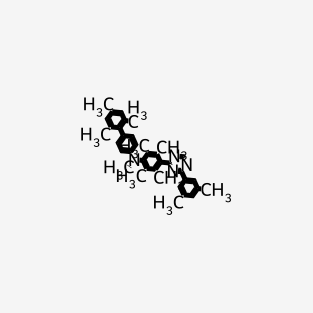 Cc1cc(C)cc(-c2ncnc(-c3c(C)c(C)c(N(C)c4ccc(-c5c(C)cc(C)cc5C)cc4)c(C)c3C)n2)c1